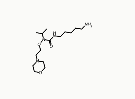 CC(C)N(OCCN1CCOCC1)C(=O)NCCCCCN